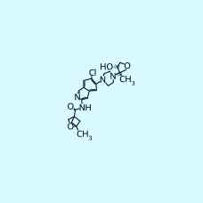 CC12CC(C(=O)Nc3cc4cc(N5CCN([C@@]6(C)COC[C@H]6O)CC5)c(Cl)cc4cn3)(CO1)C2